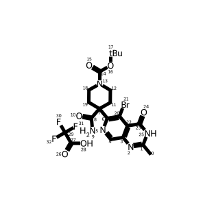 Cc1nc2cnc(C3(C(N)=O)CCN(C(=O)OC(C)(C)C)CC3)c(Br)c2c(=O)[nH]1.O=C(O)C(F)(F)F